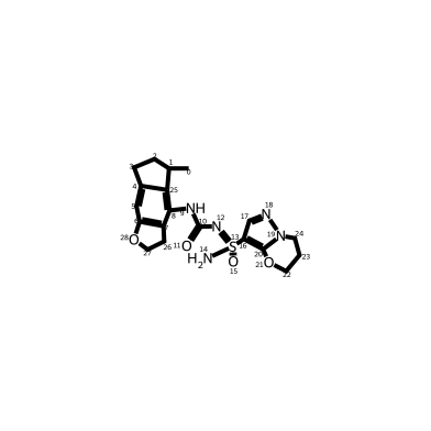 CC1CCc2cc3c(c(NC(=O)N=S(N)(=O)c4cnn5c4OCCC5)c21)CCO3